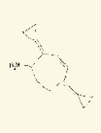 NC1CCC(=C2CC2)C=CC1=C1CC1